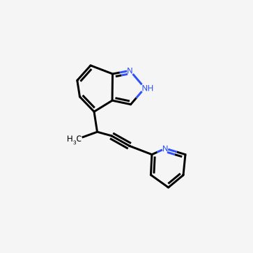 CC(C#Cc1ccccn1)c1cccc2n[nH]cc12